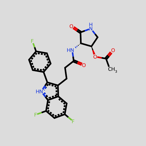 CC(=O)O[C@@H]1CNC(=O)[C@H]1NC(=O)CCc1c(-c2ccc(F)cc2)[nH]c2c(F)cc(F)cc12